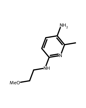 COCCNc1ccc(N)c(C)n1